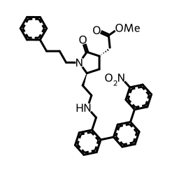 COC(=O)C[C@@H]1C[C@@H](CCNCc2ccccc2-c2cccc(-c3cccc([N+](=O)[O-])c3)c2)N(CCCc2ccccc2)C1=O